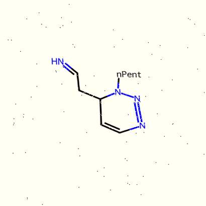 CCCCCN1N=NC=CC1CC=N